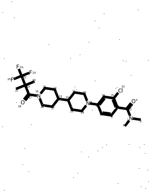 CN(C)C(=O)c1ccc(N2CCC(C3CCN(C(=O)C(C)(C)C(F)(F)F)CC3)CC2)cc1Cl